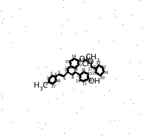 Cc1ccc(C=CC(C=Cc2ccc(O)cc2)=Cc2ccc(OC(C)(C)OCc3ccccc3)cc2)cc1